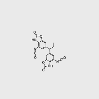 CCC(c1cc(N=C=O)c2[nH]c(=O)oc2c1)c1cc(N=C=O)c2[nH]c(=O)oc2c1